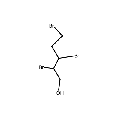 OCC(Br)C(Br)CCBr